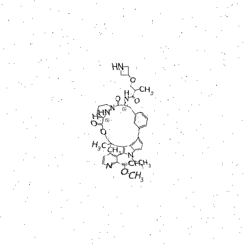 CCn1c(-c2cccnc2[C@H](C)OC)c2c3cc(ccc31)-c1cccc(c1)C[C@H](NC(=O)C(C)COC1CNC1)C(=O)N1CCC[C@H](N1)C(=O)OCC(C)(C)C2